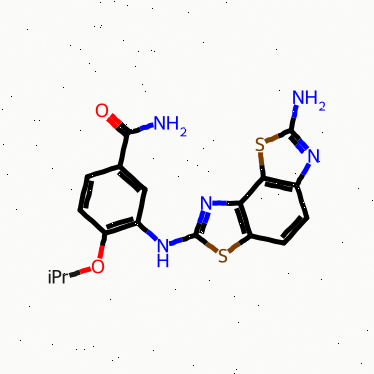 CC(C)Oc1ccc(C(N)=O)cc1Nc1nc2c(ccc3nc(N)sc32)s1